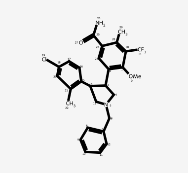 COc1c(C2CN(Cc3ccccc3)CC2c2ccc(Cl)cc2C)cc(C(N)=O)c(C)c1C(F)(F)F